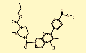 CCCOC(=O)N1CCN(C(=O)c2ccc3c(Cl)c(C)c(-c4ccc(C(N)=O)cc4)nc3c2)C[C@H]1C